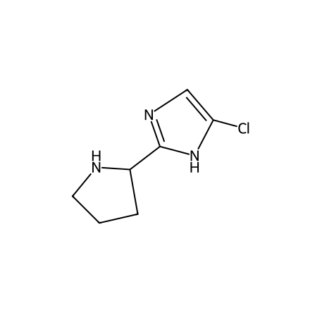 Clc1cnc(C2CCCN2)[nH]1